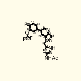 CC(=O)NC1=NNC(Cn2ncc3ncc(-c4ccc(F)c(OC(F)F)c4)cc32)S1